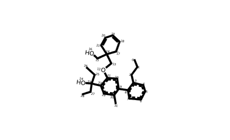 CCCc1ccccc1-c1cc(OCC2(CO)[CH]C=CC=C2)c(C(O)(CC)CC)cc1C